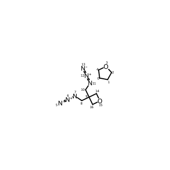 C1CCOC1.[N-]=[N+]=NCC1(CN=[N+]=[N-])COC1